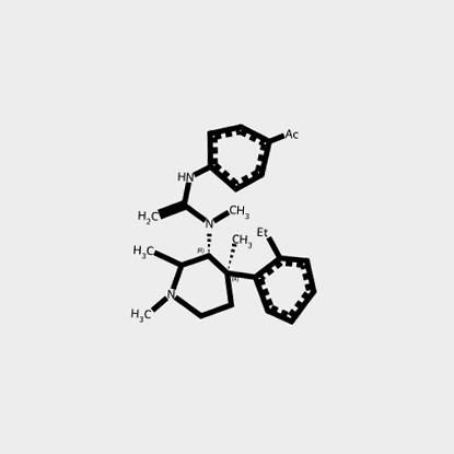 C=C(Nc1ccc(C(C)=O)cc1)N(C)[C@H]1C(C)N(C)CC[C@]1(C)c1ccccc1CC